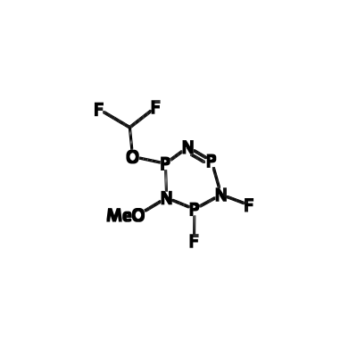 COn1p(OC(F)F)npn(F)p1F